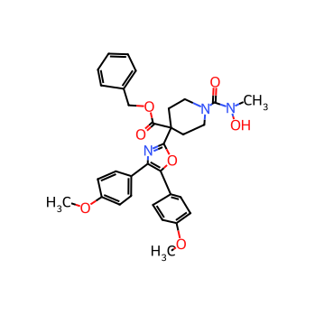 COc1ccc(-c2nc(C3(C(=O)OCc4ccccc4)CCN(C(=O)N(C)O)CC3)oc2-c2ccc(OC)cc2)cc1